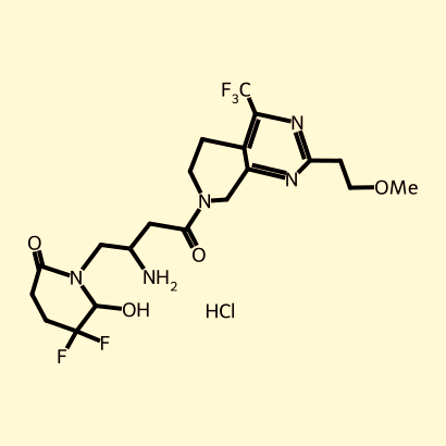 COCCc1nc2c(c(C(F)(F)F)n1)CCN(C(=O)CC(N)CN1C(=O)CCC(F)(F)C1O)C2.Cl